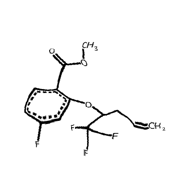 C=CCC(Oc1cc(F)ccc1C(=O)OC)C(F)(F)F